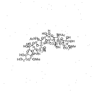 CO[C@@H]1OC(CO)[C@@H](O)[C@@H](O[C@@H]2OC(C(=O)O)C[C@](O)(O[C@@H]3OC(CO)[C@@H](O)[C@@H](O[C@@H]4OC(C(=O)O)C[C@](O)(O[C@@H]5OC(CO)[C@@H](O)[C@@H](O[C@@H]6OC(C(=O)O)[C@@H](OC)[C@@H](O)C6O)C5NC(C)=O)C4O)C3NC(C)=O)C2O)C1NC(C)=O